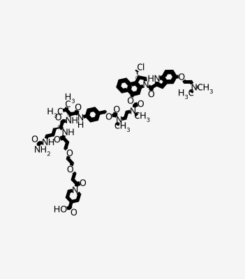 CC(C)[C@H](NC(=O)[C@H](CCCNC(N)=O)NC(=O)CCOCCOCCC(=O)N1CCC(C(=O)O)CC1)C(=O)Nc1ccc(COC(=O)N(C)CCN(C)C(=O)Oc2cc3c(c4ccccc24)[C@H](CCl)CN3C(=O)c2cc3cc(OCCN(C)C)ccc3[nH]2)cc1